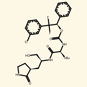 CCCC[C@H](NC(=O)O[C@H](c1ccccc1)C(F)(F)c1cccc(Cl)c1)C(=O)N[C@H](CO)C[C@@H]1CCNC1=O